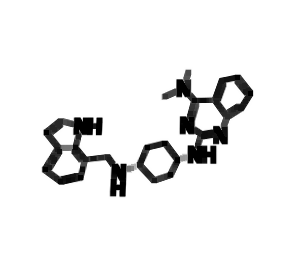 CN(C)c1nc(N[C@H]2CC[C@@H](NCc3cccc4cc[nH]c34)CC2)nc2ccccc12